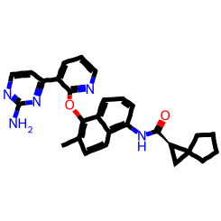 Cc1ccc2c(NC(=O)[C@@H]3CC34CCCC4)cccc2c1Oc1ncccc1-c1ccnc(N)n1